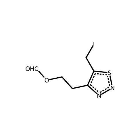 O=COCCc1nnsc1CI